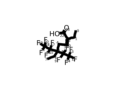 CCC(=CCC(CC)(C(F)(F)C(F)(F)F)C(F)(F)C(F)(F)F)C(=O)O